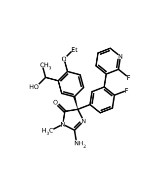 CCOc1ccc([C@@]2(c3ccc(F)c(-c4cccnc4F)c3)N=C(N)N(C)C2=O)cc1C(C)O